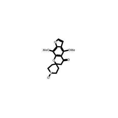 COc1c2c(c(OC)c3occc13)OC1(CC[S+]([O-])CC1)CC2=O